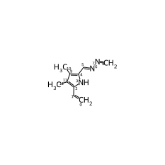 C=Cc1[nH]c(C=NN=C)c(C)c1C